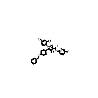 Cc1c(C(=O)Nc2ccc(F)cn2)nn(-c2ccc(Cl)cc2Cl)c1-c1ccc(OCc2ccccc2)cc1